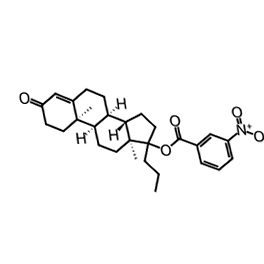 CCCC1(OC(=O)c2cccc([N+](=O)[O-])c2)CC[C@H]2[C@@H]3CCC4=CC(=O)CC[C@]4(C)[C@@H]3CC[C@@]21C